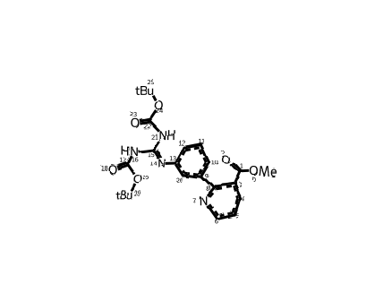 COC(=O)c1cccnc1-c1cccc(N=C(NC(=O)OC(C)(C)C)NC(=O)OC(C)(C)C)c1